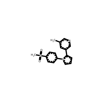 Cc1cncc(-c2cccn2-c2ccc(S(C)(=O)=O)cc2)c1